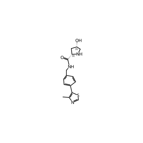 Cc1ncsc1-c1ccc(CNC(=O)[C@@H]2C[C@H](O)CN2)cc1